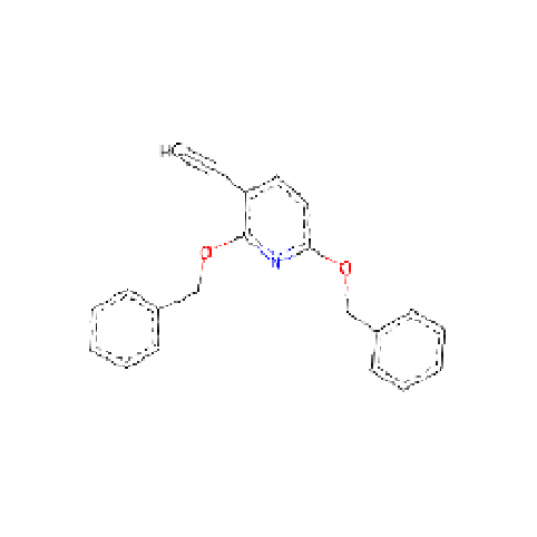 C#Cc1ccc(OCc2ccccc2)nc1OCc1ccccc1